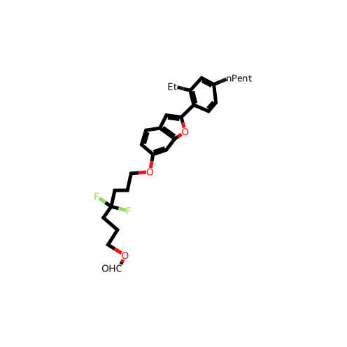 CCCCCc1ccc(-c2cc3ccc(OCCCC(F)(F)CCCOC=O)cc3o2)c(CC)c1